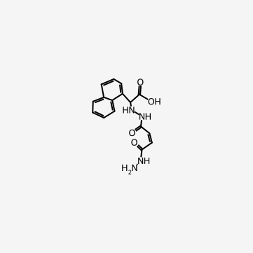 NNC(=O)/C=C\C(=O)NNC(C(=O)O)c1cccc2ccccc12